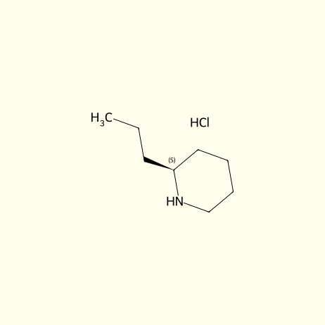 CCC[C@H]1CCCCN1.Cl